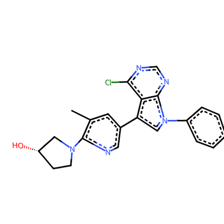 Cc1cc(-c2cn(-c3ccccc3)c3ncnc(Cl)c23)cnc1N1CC[C@H](O)C1